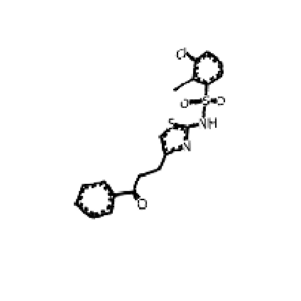 Cc1c(Cl)cccc1S(=O)(=O)Nc1nc(CCC(=O)c2ccccc2)cs1